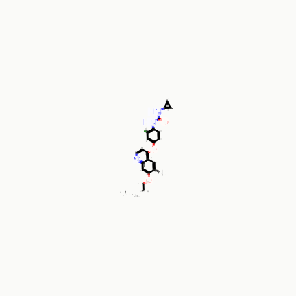 [C-]#[N+]c1cc2c(Oc3ccc(NC(=O)NC4CC4)c(F)c3)ccnc2cc1OCCOC